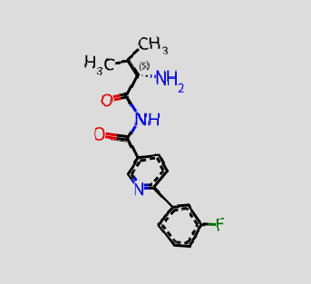 CC(C)[C@H](N)C(=O)NC(=O)c1ccc(-c2cccc(F)c2)nc1